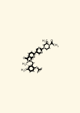 CC(=O)N1CCN(c2ncc(-c3ccc4c(=O)n(C)n(Cc5cc(C)ccc5SC(F)F)c4n3)cn2)CC1C